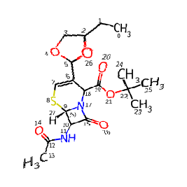 CCC1COC(C2=CS[C@H]3C(NC(C)=O)C(=O)N3C2C(=O)OC(C)(C)C)O1